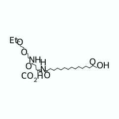 CCOCCOCCNC(=O)CC[C@H](NC(=O)CCCCCCCCCCCCC(=O)CO)C(=O)O